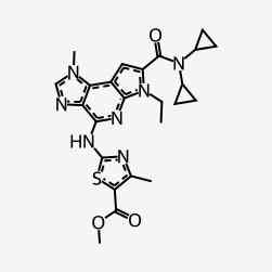 CCn1c(C(=O)N(C2CC2)C2CC2)cc2c3c(ncn3C)c(Nc3nc(C)c(C(=O)OC)s3)nc21